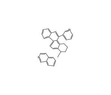 CC1CCCc2c1ccc1c2c(-c2cccnc2)cc2ccccc21.c1ccc2cnccc2c1